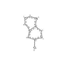 Clc1ccc2nc[c]cc2c1